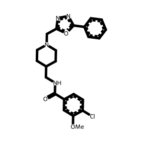 COc1cc(C(=O)NCC2CCN(Cc3nnc(-c4ccccc4)o3)CC2)ccc1Cl